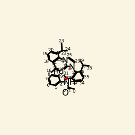 CC(=O)Nc1cccc[c]1[Pd]=[c]1n(-c2c(C(C)C)cccc2C(C)C)ccn1-c1c(C(C)C)cccc1C(C)C